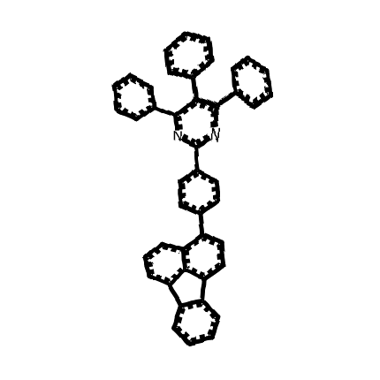 c1ccc(-c2nc(-c3ccc(-c4ccc5c6c(cccc46)-c4ccccc4-5)cc3)nc(-c3ccccc3)c2-c2ccccc2)cc1